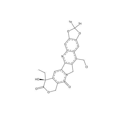 [2H]C1([2H])Oc2cc3nc4c(c(CCl)c3cc2O1)Cn1c-4cc2c(c1=O)COC(=O)[C@]2(O)CC